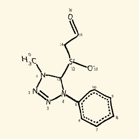 CN1N=NN(c2ccccc2)C1[S+]([O-])CC=O